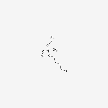 CCOC(C)(OC)OCCCC[O]